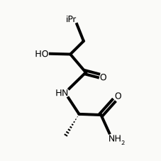 CC(C)CC(O)C(=O)N[C@@H](C)C(N)=O